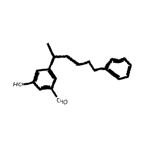 CC(CCCCc1ccccc1)c1cc(O)cc(C=O)c1